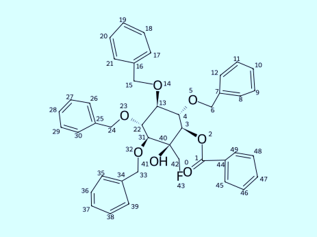 O=C(O[C@@H]1[C@@H](OCc2ccccc2)[C@H](OCc2ccccc2)[C@@H](OCc2ccccc2)[C@H](OCc2ccccc2)[C@@]1(O)CF)c1ccccc1